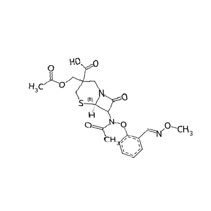 CON=Cc1ccccc1ON(C(C)=O)C1C(=O)N2CC(COC(C)=O)(C(=O)O)CS[C@H]12